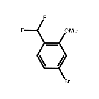 COc1cc(Br)ccc1C(F)F